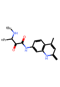 C=C1C=C(C)c2ccc(NC(=O)C(=O)C(CCC)NC(C)(C)C)cc2N1